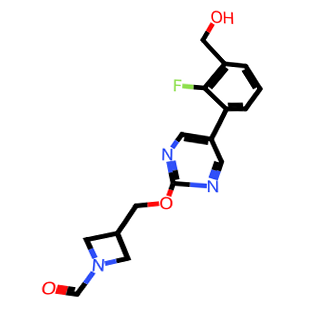 O=CN1CC(COc2ncc(-c3cccc(CO)c3F)cn2)C1